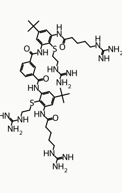 CC(C)(C)c1cc(NC(=O)CCCCNC(=N)N)c(SCCNC(=N)N)c(NC(=O)c2cccc(C(=O)Nc3cc(C(C)(C)C)cc(NC(=O)CCCCNC(=N)N)c3SCCNC(=N)N)c2)c1